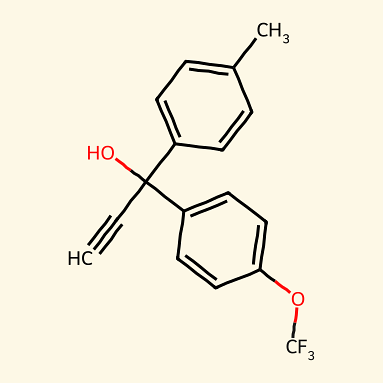 C#CC(O)(c1ccc(C)cc1)c1ccc(OC(F)(F)F)cc1